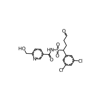 O=CCCC(c1cc(Cl)cc(Cl)c1)S(=O)(=O)NC(=O)c1ccc(CO)nc1